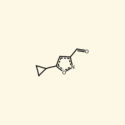 O=Cc1cc(C2CC2)on1